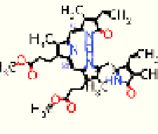 C=CC1=C(C)/C(=C/C2=NC(=C\c3[nH]c(C[C@H]4NC(=O)C(C)=C4C=C)c(C)c3CCC(=O)OC)/C(CCC(=O)OC)=C2C)NC1=O